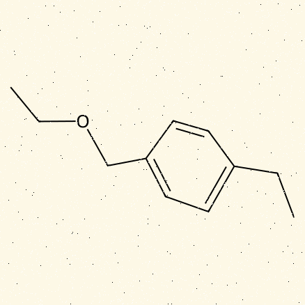 CCOCc1ccc(CC)cc1